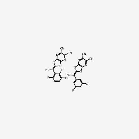 N#CC(=C1Sc2nc(C#N)c(C#N)nc2S1)c1c(F)ccc(Cl)c1F.N#CC(=C1Sc2nc(C#N)c(C#N)nc2S1)c1cc(F)cc(Cl)c1